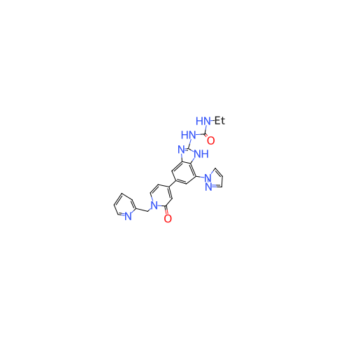 CCNC(=O)Nc1nc2cc(-c3ccn(Cc4ccccn4)c(=O)c3)cc(-n3cccn3)c2[nH]1